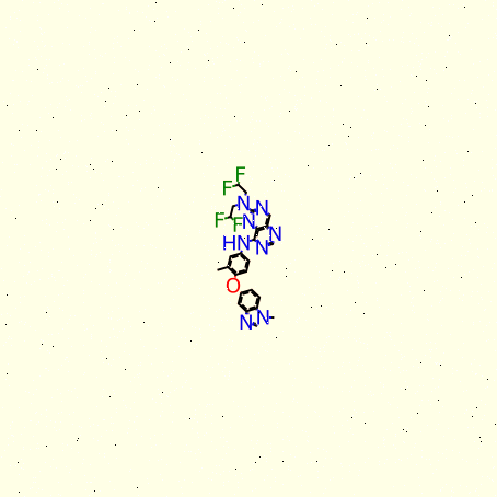 Cc1cc(Nc2ncnc3cnc(N(CC(F)F)CC(F)F)nc23)ccc1Oc1ccc2c(c1)ncn2C